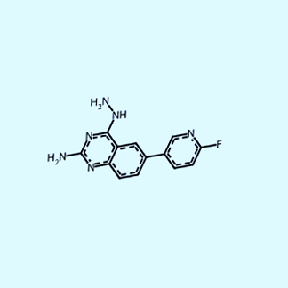 NNc1nc(N)nc2ccc(-c3ccc(F)nc3)cc12